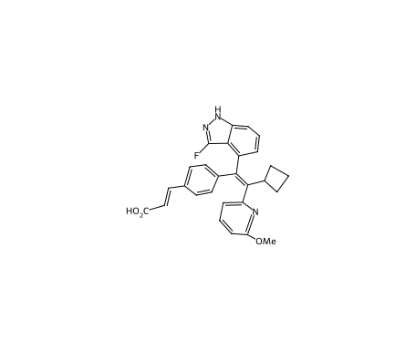 COc1cccc(C(=C(c2ccc(C=CC(=O)O)cc2)c2cccc3[nH]nc(F)c23)C2CCC2)n1